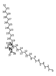 CCCCCCCCCCCCCCCCCc1n(CCCCCCCCCCCCCC)cc[n+]1C(C)C